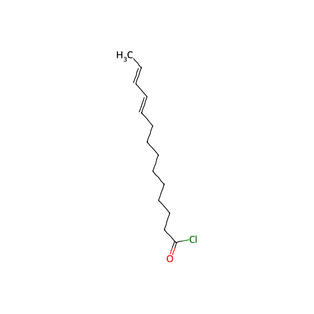 CC=CC=CCCCCCCCCC(=O)Cl